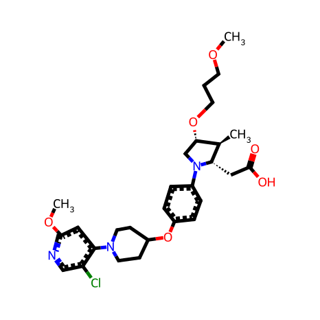 COCCCO[C@H]1CN(c2ccc(OC3CCN(c4cc(OC)ncc4Cl)CC3)cc2)[C@@H](CC(=O)O)[C@@H]1C